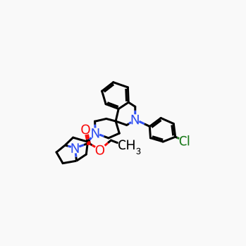 CCOC(=O)N1C2CCC1CC(N1CCC3(CC1)CN(c1ccc(Cl)cc1)Cc1ccccc13)C2